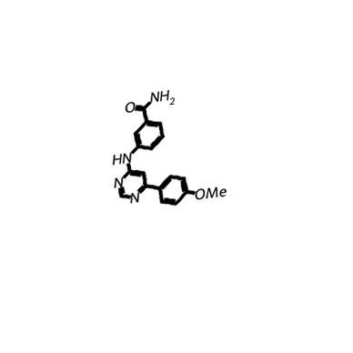 COc1ccc(-c2cc(Nc3cccc(C(N)=O)c3)ncn2)cc1